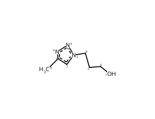 Cc1cn(CCCO)nn1